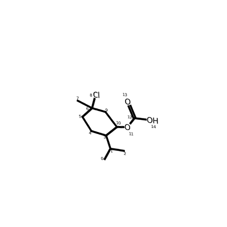 CC(C)C1CCC(C)(Cl)CC1OC(=O)O